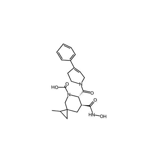 CC1CC12C[C@H](C(=O)NO)[C@@H](C(=O)N1CC=C(c3ccccc3)CC1)N(C(=O)O)C2